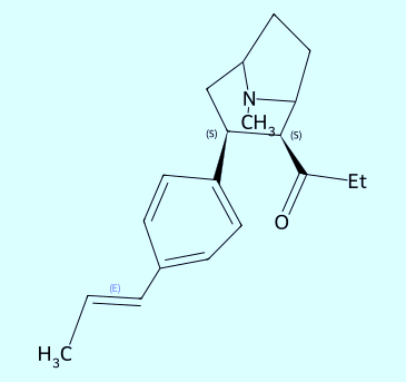 C/C=C/c1ccc([C@H]2CC3CCC([C@H]2C(=O)CC)N3C)cc1